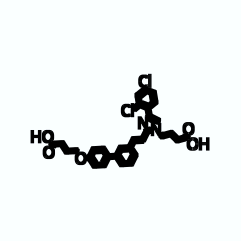 O=C(O)CCCOc1ccc(-c2cccc(C=Cc3nc(-c4ccc(Cl)cc4Cl)cn3CCCC(=O)O)c2)cc1